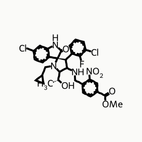 COC(=O)c1ccc(CNC2C([C@@H](C)O)N(CC3CC3)[C@]3(C(=O)Nc4cc(Cl)ccc43)C2c2cccc(Cl)c2F)c([N+](=O)[O-])c1